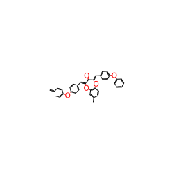 C=C/C=C\C(=C/C)Oc1ccc(/C=C2\Oc3cc(C)ccc3O/C(=C\c3ccc(Oc4ccccc4)cc3)C2=O)cc1